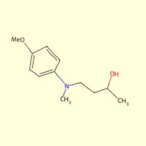 COc1ccc(N(C)CCC(C)O)cc1